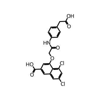 O=C(O)Cc1ccc(NC(=O)COc2cc(C(=O)O)cc3cc(Cl)cc(Cl)c23)cc1